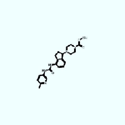 Cc1ccc(NC(=O)Nc2cccc3c2CCC3N2CCN(C(=O)OC(C)(C)C)CC2)cn1